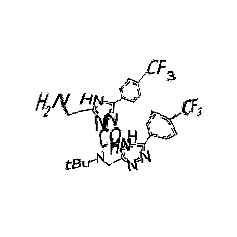 CC(C)(C)N(Cc1nnc(-c2ccc(C(F)(F)F)cc2)[nH]1)C(=O)O.NCc1nnc(-c2ccc(C(F)(F)F)cc2)[nH]1